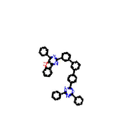 c1ccc(-c2nc(-c3ccccc3)nc(-c3ccc(-c4cccc(-c5cccc(-c6nc(-c7ccccc7)c7oc8ccccc8c7n6)c5)c4)cc3)n2)cc1